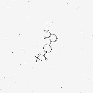 CC(C)(C)OC(=O)N1CCC(n2cccc(N)c2=O)CC1